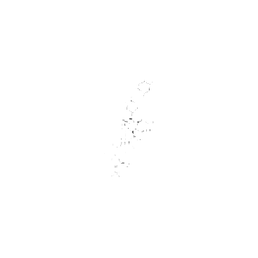 Cc1cc(Oc2ccccc2)ccc1N1C(=O)Nc2c(C(=O)NC3CCCN(C(=O)C4CCN4)C3)sc3nccc1c23